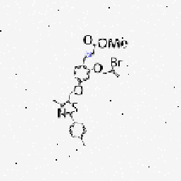 C=C(Br)COc1cc(OCc2sc(-c3ccc(C)cc3)nc2C)ccc1/C=C/C(=O)OC